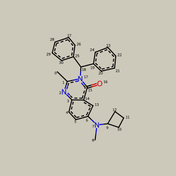 Cc1nc2ccc(N(C)C3CCC3)cc2c(=O)n1C(c1ccccc1)c1ccccc1